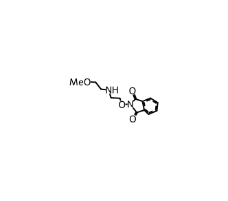 COCCNCCON1C(=O)c2ccccc2C1=O